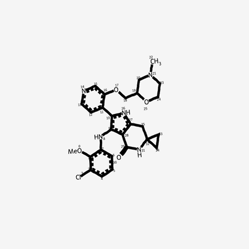 COc1c(Cl)cccc1Nc1c(-c2ccncc2OCC2CN(C)CCO2)[nH]c2c1C(=O)NC1(CC1)C2